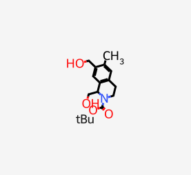 Cc1cc2c(cc1CO)C(CO)N(C(=O)OC(C)(C)C)CC2